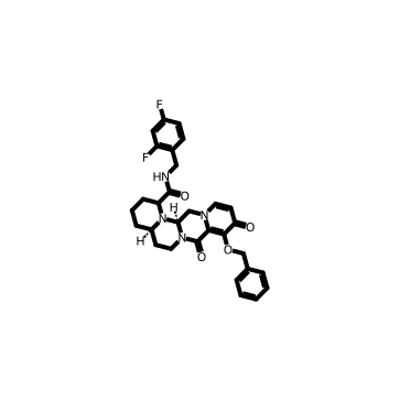 O=C(NCc1ccc(F)cc1F)C1CCC[C@@H]2CCN3C(=O)c4c(OCc5ccccc5)c(=O)ccn4C[C@@H]3N12